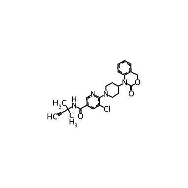 C#CC(C)(C)NC(=O)c1cnc(N2CCC(N3C(=O)OCc4ccccc43)CC2)c(Cl)c1